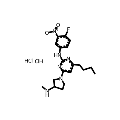 CCCCc1cc(N2CCC(NC)C2)nc(Nc2ccc(F)c([N+](=O)[O-])c2)n1.Cl.Cl